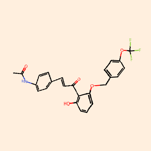 CC(=O)Nc1ccc(/C=C/C(=O)c2c(O)cccc2OCc2ccc(OC(F)(F)F)cc2)cc1